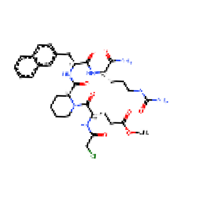 COC(=O)CC[C@H](NC(=O)CCl)C(=O)N1CCCC[C@H]1C(=O)N[C@@H](Cc1ccc2ccccc2c1)C(=O)N[C@@H](CCCNC(N)=O)C(N)=O